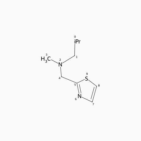 CC(C)CN(C)Cc1nccs1